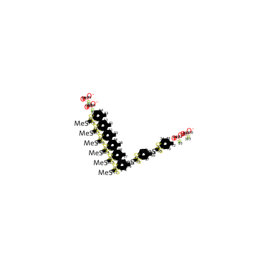 CSc1sc2cc(C)ccc2[s+]1.CSc1sc2cc(C)ccc2[s+]1.CSc1sc2cc(C)ccc2[s+]1.CSc1sc2cc(C)ccc2[s+]1.CSc1sc2cc(C)ccc2[s+]1.CSc1sc2cc(C)ccc2[s+]1.CSc1sc2cc(C)ccc2[s+]1.CSc1sc2cc(C)ccc2[s+]1.[O-]B([O-])F.[O-]B([O-])F.[O-]B([O-])F.[O-]B([O-])F